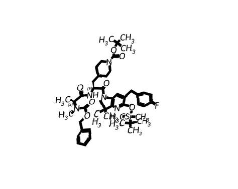 C[C@@H](C(=O)N[C@@H](CC1CCN(C(=O)OC(C)(C)C)CC1)C(=O)N1CC(C)(C)c2nc(O[Si](C)(C)C(C)(C)C)c(Cc3ccc(F)cc3)cc21)N(C)C(=O)OCc1ccccc1